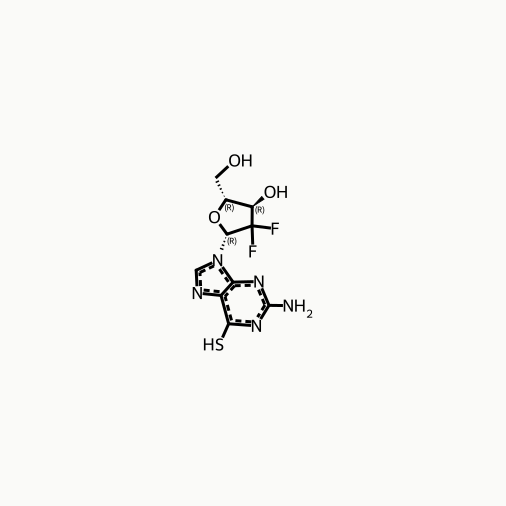 Nc1nc(S)c2ncn([C@@H]3O[C@H](CO)[C@@H](O)C3(F)F)c2n1